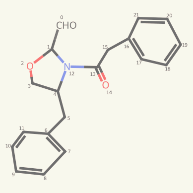 O=CC1OCC(Cc2ccccc2)N1C(=O)Cc1ccccc1